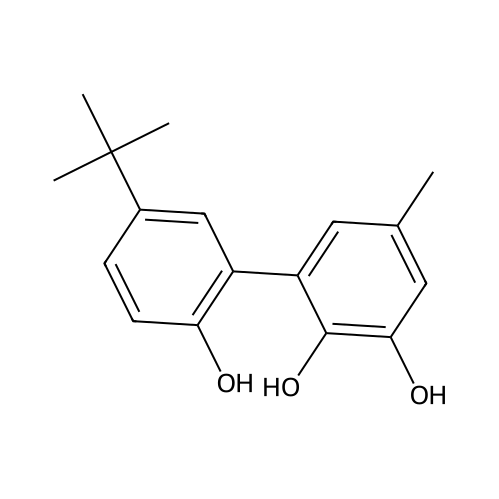 Cc1cc(O)c(O)c(-c2cc(C(C)(C)C)ccc2O)c1